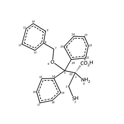 N[C@](CS)(C(=O)O)C(OCc1ccccc1)(c1ccccc1)c1ccccc1